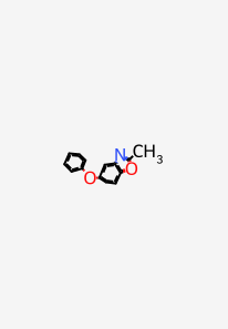 Cc1nc2cc(Oc3ccccc3)ccc2o1